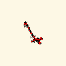 CC(=O)N(CC1CN(C(=O)OC(C)(C)C)CC1CNC(=O)CCOCCOCCOCCOCCNC(=O)CCN1C(=O)C=CC1=O)[C@@H](c1nc(-c2cc(F)ccc2F)cn1Cc1ccccc1)C(C)(C)C